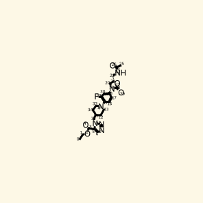 CCOC(=O)c1cnnn1CC1CCN(c2ccc(N3C[C@H](CNC(C)=O)OC3=O)cc2F)CC1